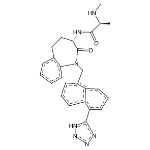 CN[C@@H](C)C(=O)N[C@H]1CCc2ccccc2N(Cc2cccc3c(-c4nnn[nH]4)cccc23)C1=O